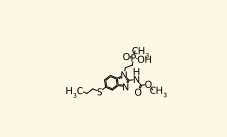 CCCSc1ccc2c(c1)nc(NC(=O)OC)n2CCP(C)(=O)O